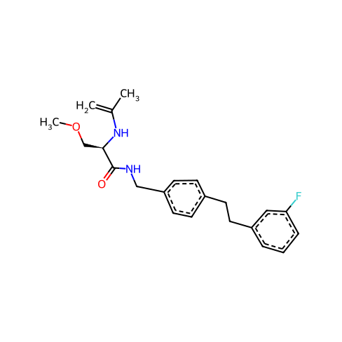 C=C(C)N[C@H](COC)C(=O)NCc1ccc(CCc2cccc(F)c2)cc1